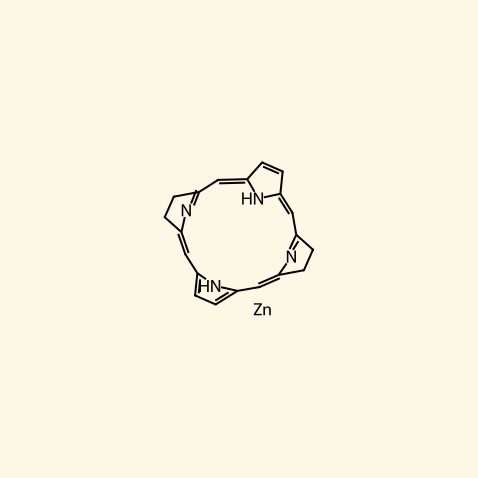 [Zn].c1cc2cc3nc(cc4ccc(cc5nc(cc1[nH]2)CC5)[nH]4)CC3